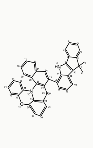 CC1(C)c2ccccc2-c2[nH]c3c(-c4cc5ccccc5c5c4Bc4cccc6c4N5c4ccccc4O6)cccc3c21